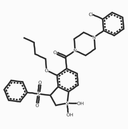 CCCCOc1c(C(=O)N2CCN(c3ccccc3Cl)CC2)ccc2c1C(S(=O)(=O)c1ccccc1)CS2(O)O